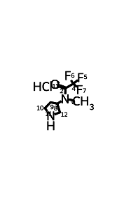 CN(C(=O)C(F)(F)F)C1CCNC1.Cl